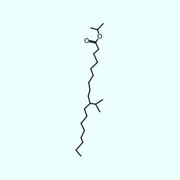 CCCCCCCCC(CCCCCCCCC(=O)OC(C)C)C(C)C